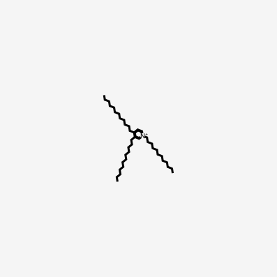 CCCCCCCCCCCCc1cc[n+](CCCCCCCCCCCC)cc1CCCCCCCCCCCC